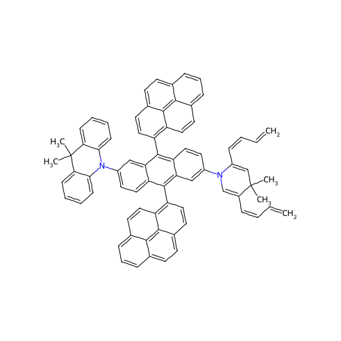 C=C/C=C\C1=CC(C)(C)C(/C=C\C=C)=CN1c1ccc2c(-c3ccc4ccc5cccc6ccc3c4c56)c3cc(N4c5ccccc5C(C)(C)c5ccccc54)ccc3c(-c3ccc4ccc5cccc6ccc3c4c56)c2c1